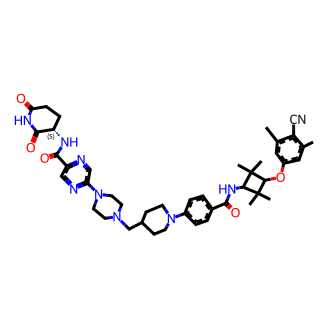 Cc1cc(OC2C(C)(C)C(NC(=O)c3ccc(N4CCC(CN5CCN(c6cnc(C(=O)N[C@H]7CCC(=O)NC7=O)cn6)CC5)CC4)cc3)C2(C)C)cc(C)c1C#N